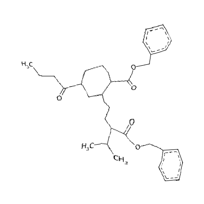 CCCC(=O)C1CCC(C(=O)OCc2ccccc2)C(CCC(C(=O)OCc2ccccc2)C(C)C)C1